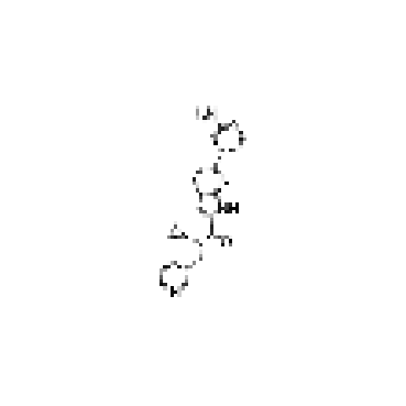 Nc1nccc(-c2ccc3cc(C(=O)N(Cc4cccnc4)C4CC4)[nH]c3n2)n1